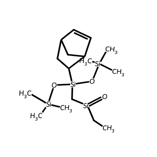 CC[Si](=O)C[Si](O[Si](C)(C)C)(O[Si](C)(C)C)C1CC2C=CC1C2